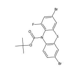 CC(C)(C)OC(=O)N1c2ccc(Br)cc2Sc2cc(Br)cc(F)c21